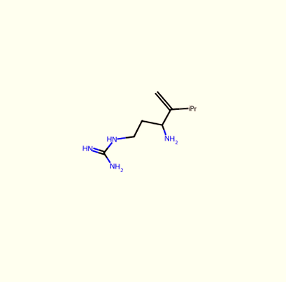 C=C(C(C)C)C(N)CCNC(=N)N